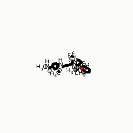 CNC(=O)c1ccc(NCC#Cc2nc3c(N[C@@H]4C[C@H]5CC[C@@H]([C@@H]4F)N5C(=O)OC(C)(C)C)cccn3c2SC(F)(F)F)c(OC)c1